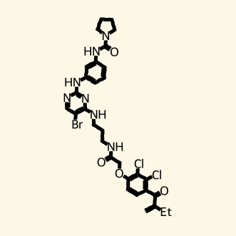 C=C(CC)C(=O)c1ccc(OCC(=O)NCCCNc2nc(Nc3cccc(NC(=O)N4CCCC4)c3)ncc2Br)c(Cl)c1Cl